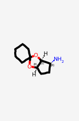 N[C@@H]1CC[C@H]2OC3(CCCCC3)O[C@@H]12